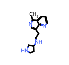 Cc1ncc(CCNC2CCNC2)c2ncccc12